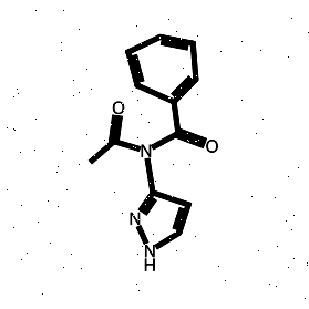 CC(=O)N(C(=O)c1ccccc1)c1cc[nH]n1